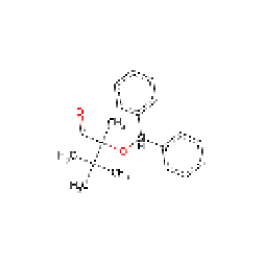 CC(C)(C)C(C)(C=O)O[SiH](c1ccccc1)c1ccccc1